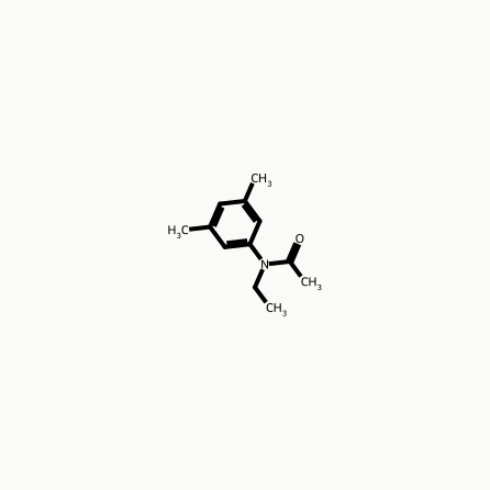 CCN(C(C)=O)c1cc(C)cc(C)c1